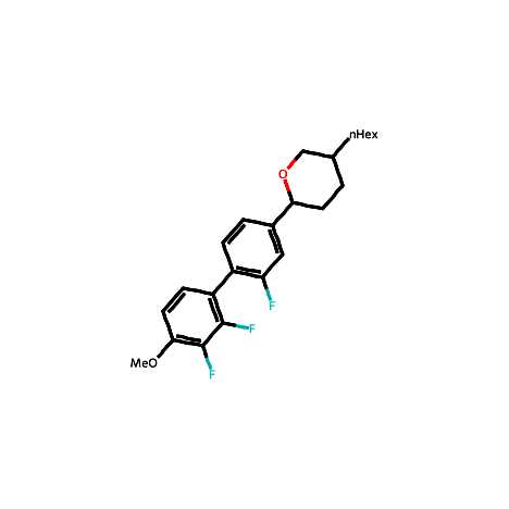 CCCCCCC1CCC(c2ccc(-c3ccc(OC)c(F)c3F)c(F)c2)OC1